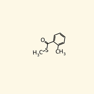 CSC(=O)c1ccccc1C